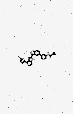 CC(=O)c1ccc(-c2nccc3[nH]c(-c4n[nH]c5ccc(-c6cncc(NC(=O)C7CC7)c6)cc45)nc23)s1